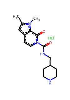 Cc1cc2ccn(C(=O)NCC3CCNCC3)c(=O)c2n1C.Cl